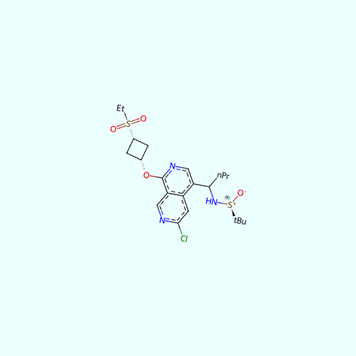 CCCC(N[S@@+]([O-])C(C)(C)C)c1cnc(O[C@H]2C[C@@H](S(=O)(=O)CC)C2)c2cnc(Cl)cc12